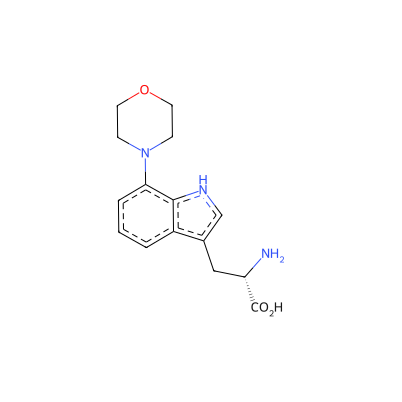 N[C@@H](Cc1c[nH]c2c(N3CCOCC3)cccc12)C(=O)O